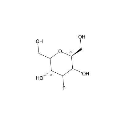 OCC1O[C@@H](CO)C(O)C(F)[C@@H]1O